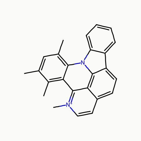 Cc1cc(C)c2c(c1C)c1c3c(ccc4c5ccccc5n2c43)cc[n+]1C